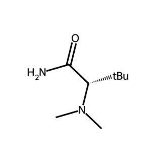 CN(C)[C@H](C(N)=O)C(C)(C)C